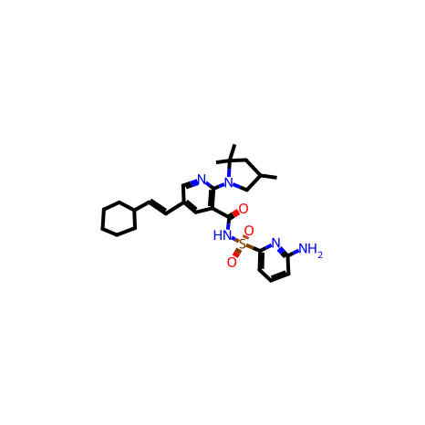 CC1CN(c2ncc(C=CC3CCCCC3)cc2C(=O)NS(=O)(=O)c2cccc(N)n2)C(C)(C)C1